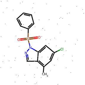 Cc1cc(Cl)cc2c1cnn2S(=O)(=O)c1ccccc1